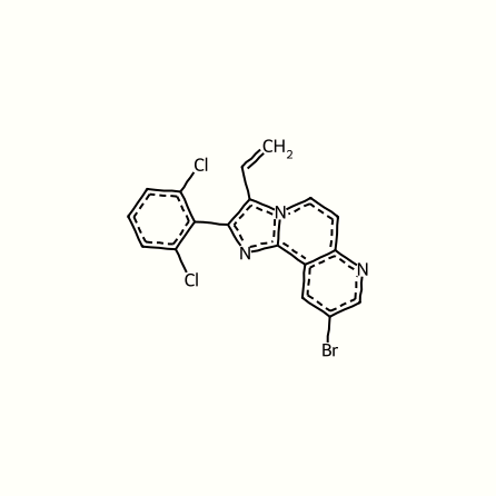 C=Cc1c(-c2c(Cl)cccc2Cl)nc2c3cc(Br)cnc3ccn12